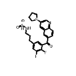 O=C(c1ccc2ncc(N3CCCC3)cc2c1)c1cc(CCCN[SH](=O)=O)cc(F)c1F